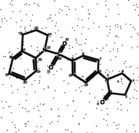 O=C1CCCN1c1ccc(S(=O)(=O)N2CCCc3ccccc32)cc1